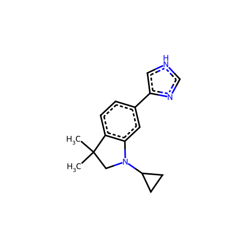 CC1(C)CN(C2CC2)c2cc(-c3c[nH]cn3)ccc21